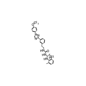 CCc1cccc(C)c1NC(S)NC(=O)NCCc1cccc(-c2ncn(-c3ccc(OC(F)(F)F)cc3)n2)c1